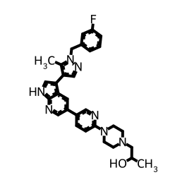 Cc1c(-c2c[nH]c3ncc(-c4ccc(N5CCN(CC(C)O)CC5)nc4)cc23)cnn1Cc1cccc(F)c1